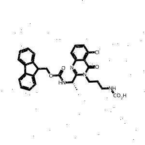 C[C@H](NC(=O)OCC1c2ccccc2-c2ccccc21)c1nc2cccc(Cl)c2c(=O)n1CCCNC(=O)O